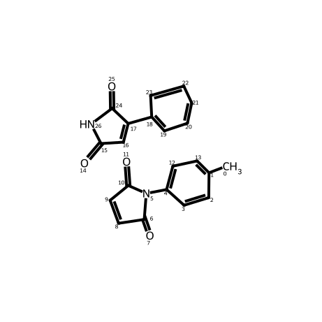 Cc1ccc(N2C(=O)C=CC2=O)cc1.O=C1C=C(c2ccccc2)C(=O)N1